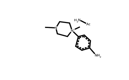 CC(N)=O.CN1CC[N+](C)(c2ccc(N)cc2)CC1